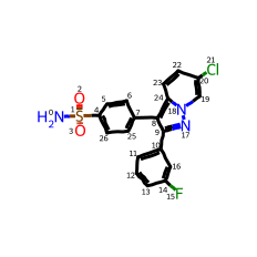 NS(=O)(=O)c1ccc(-c2c(-c3cccc(F)c3)nn3cc(Cl)ccc23)cc1